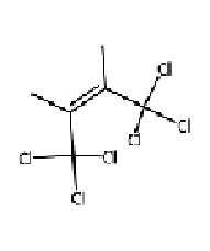 C/C(=C(\C)C(Cl)(Cl)Cl)C(Cl)(Cl)Cl